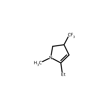 CCC1=CC(C(F)(F)F)CN1C